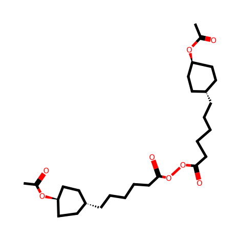 CC(=O)O[C@H]1CC[C@H](CCCCCC(=O)OOC(=O)CCCCC[C@H]2CC[C@H](OC(C)=O)CC2)CC1